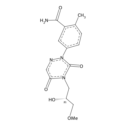 COC[C@H](O)Cn1c(=O)cnn(-c2ccc(C)c(C(N)=O)c2)c1=O